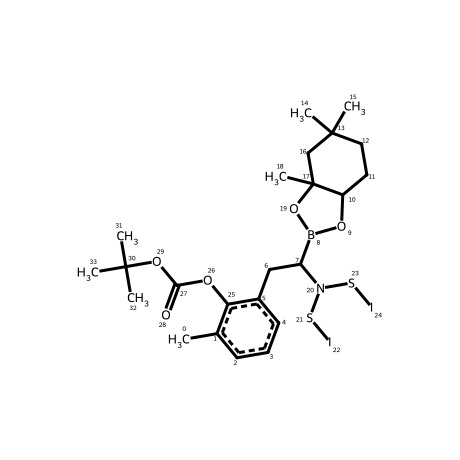 Cc1cccc(CC(B2OC3CCC(C)(C)CC3(C)O2)N(SI)SI)c1OC(=O)OC(C)(C)C